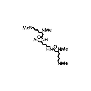 CNCCCCC(CC(=O)NCCCCC(CC(C)=O)NC(=O)CC(CCCCNC)NC)NC